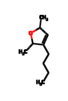 CCCCC1=CC(C)OC1C